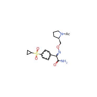 CC(=O)N1CCC[C@@H]1CO/N=C(/C(N)=O)c1ccc(S(=O)(=O)C2CC2)cc1